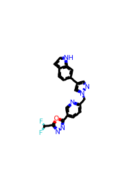 FC(F)c1nnc(-c2ccc(Cn3cc(-c4ccc5cc[nH]c5c4)cn3)nc2)o1